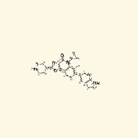 Cc1c(-c2cnc3[nH]ncc3c2)ccc2c3oc(N4CCNCC4)nc3c(=O)n(C3CC3)c12